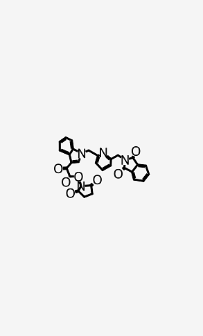 O=C(ON1C(=O)CCC1=O)C(=O)c1cn(Cc2cccc(CN3C(=O)c4ccccc4C3=O)n2)c2ccccc12